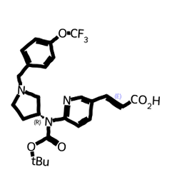 CC(C)(C)OC(=O)N(c1ccc(/C=C/C(=O)O)cn1)[C@@H]1CCN(Cc2ccc(OC(F)(F)F)cc2)C1